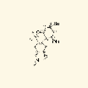 CN(C)/C=C1/CC2C(CC1=O)c1c(O)cc(C(C)(C)C)cc1OC2(C)C